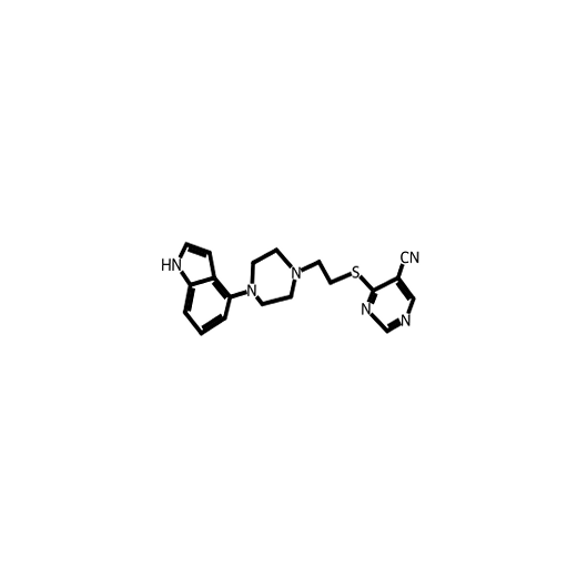 N#Cc1cncnc1SCCN1CCN(c2cccc3[nH]ccc23)CC1